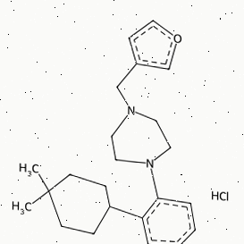 CC1(C)CCC(c2ccccc2N2CCN(Cc3ccoc3)CC2)CC1.Cl